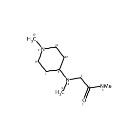 CNC(=O)CN(C)C1CCN(C)CC1